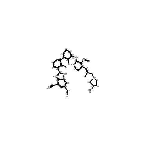 C=Nc1c(/C=C(\C)CN2CC[C@@H](O)C2)ccnc1Nc1cccc(-c2cccc(-c3nc4cc(C=O)cc(C#N)c4o3)c2C)c1C